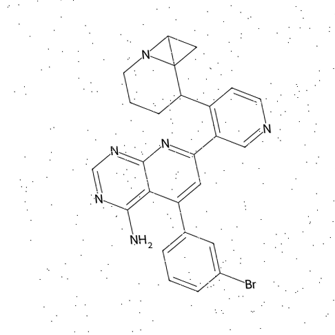 Nc1ncnc2nc(-c3cnccc3C3CCCN4C5CC354)cc(-c3cccc(Br)c3)c12